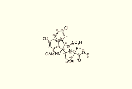 COc1cc(Cl)ccc1[C@@]1(C#N)[C@H](CC(C)(C)C)N(C(F)(F)C(=O)OF)[C@H](C(=O)O)[C@@H]1c1cccc(Cl)c1